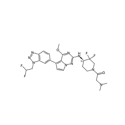 COc1nc(N[C@@H]2CCN(C(=O)CN(C)C)CC2(F)F)nn2ccc(-c3ccc4nnn(CC(F)F)c4c3)c12